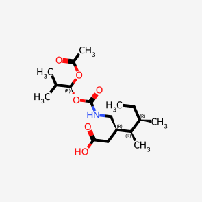 CC[C@@H](C)[C@@H](C)[C@H](CNC(=O)O[C@@H](OC(C)=O)C(C)C)CC(=O)O